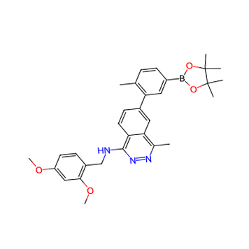 COc1ccc(CNc2nnc(C)c3cc(-c4cc(B5OC(C)(C)C(C)(C)O5)ccc4C)ccc23)c(OC)c1